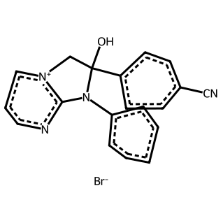 N#Cc1ccc(C2(O)C[n+]3cccnc3N2c2ccccc2)cc1.[Br-]